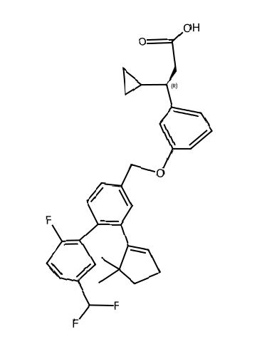 CC1(C)CCC=C1c1cc(COc2cccc([C@H](CC(=O)O)C3CC3)c2)ccc1-c1cc(C(F)F)ccc1F